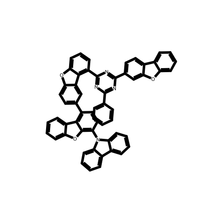 c1ccc(-c2nc(-c3ccc4c(c3)oc3ccccc34)nc(-c3cccc4oc5ccc(-c6ccc(-n7c8ccccc8c8ccccc87)c7oc8ccccc8c67)cc5c34)n2)cc1